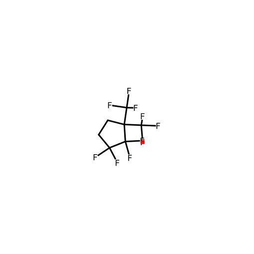 FC(F)(F)C1(C(F)(F)F)CCC(F)(F)C1(F)F